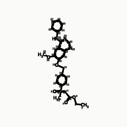 CCOC(=O)N=S(C)(=O)c1ccc(COc2cc3ncnc(Nc4cccnc4)c3cc2OC)cc1